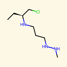 CC[C@@H](CCl)NCCCNNC